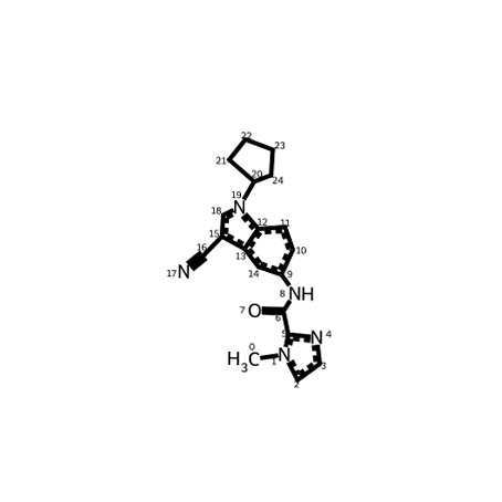 Cn1ccnc1C(=O)Nc1ccc2c(c1)c(C#N)cn2C1CCCC1